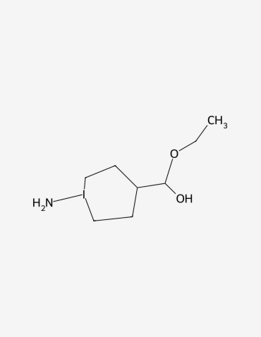 CCOC(O)C1CCI(N)CC1